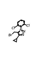 Clc1cccc(Cl)c1-n1nnc(C2CC2)c1CBr